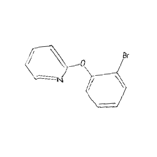 Brc1ccccc1Oc1ccccn1